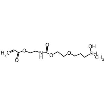 C=CC(=O)OCCNC(=O)OCCOCCC[SiH](C)O